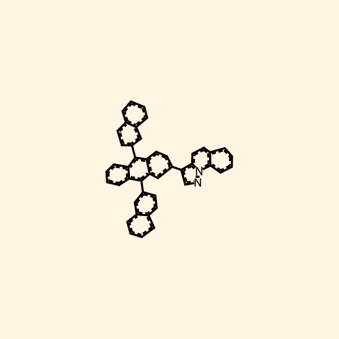 c1ccc2cc(-c3c4ccccc4c(-c4ccc5ccccc5c4)c4cc(-c5cnn6c5ccc5ccccc56)ccc34)ccc2c1